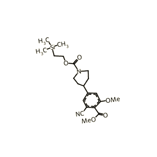 COC(=O)c1c(C#N)cc(C2CCN(C(=O)OCC[Si](C)(C)C)CC2)cc1OC